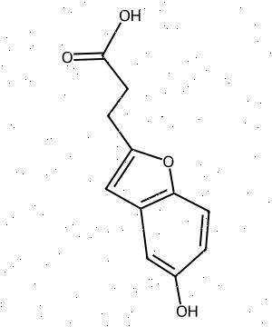 O=C(O)CCc1cc2cc(O)ccc2o1